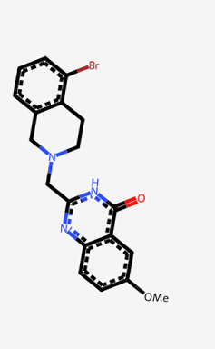 COc1ccc2nc(CN3CCc4c(Br)cccc4C3)[nH]c(=O)c2c1